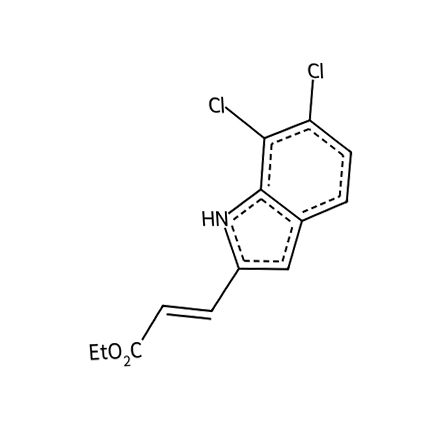 CCOC(=O)C=Cc1cc2ccc(Cl)c(Cl)c2[nH]1